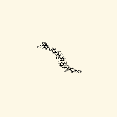 Cc1c(NC(=O)c2nc3c(n2C)CCN(CCC24CCC(C(=O)O)(CC2)C4)C3)cccc1-c1cccc(NC(=O)c2nc3c(n2C)CCN(CCO)C3)c1Cl